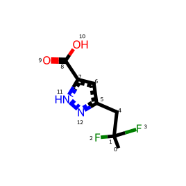 CC(F)(F)Cc1cc(C(=O)O)[nH]n1